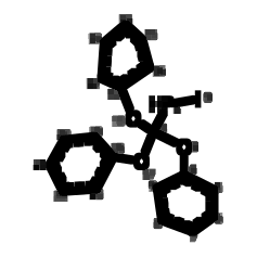 IPC(Oc1ccccc1)(Oc1ccccc1)Oc1ccccc1